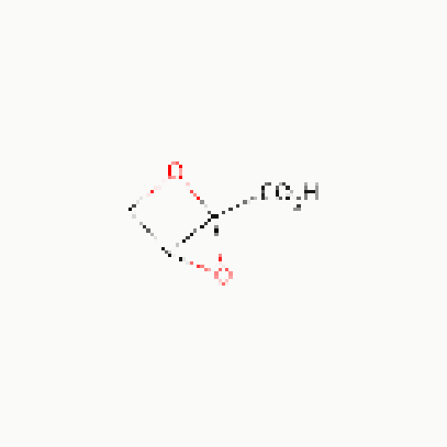 O=C(O)C12OCC1O2